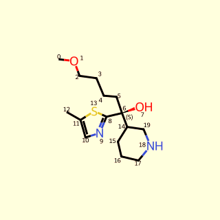 COCCCC[C@@](O)(c1ncc(C)s1)C1CCCNC1